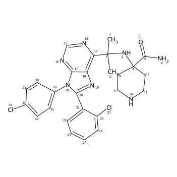 CC(C)(NC1(C(N)=O)CCNCC1)c1ncnc2c1nc(-c1ccccc1Cl)n2-c1ccc(Cl)cc1